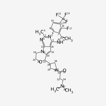 Cc1nc(N[C@H](C)c2cccc(C(F)(F)F)c2F)c2cc3n(c2n1)CCOC3C1CN(C(=O)CCN(C)C)C1